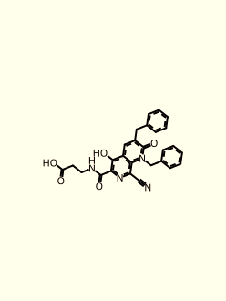 N#Cc1nc(C(=O)NCCC(=O)O)c(O)c2cc(Cc3ccccc3)c(=O)n(Cc3ccccc3)c12